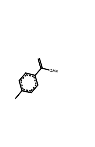 C=C(OC)c1ccc(C)cc1